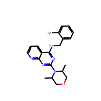 CC1COCC(C)N1c1nc(NCc2ccccc2C(F)(F)F)c2cccnc2n1